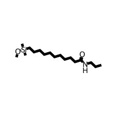 CCCNC(=O)CCCCCCCCCC[Si](C)(C)OC